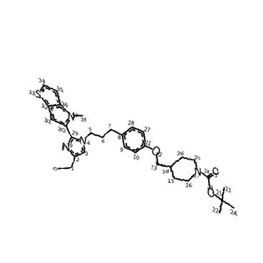 CCc1cn(CCCc2ccc(OCC3CCN(C(=O)OC(C)(C)C)CC3)cc2)c(-c2cc3sccc3n2C)n1